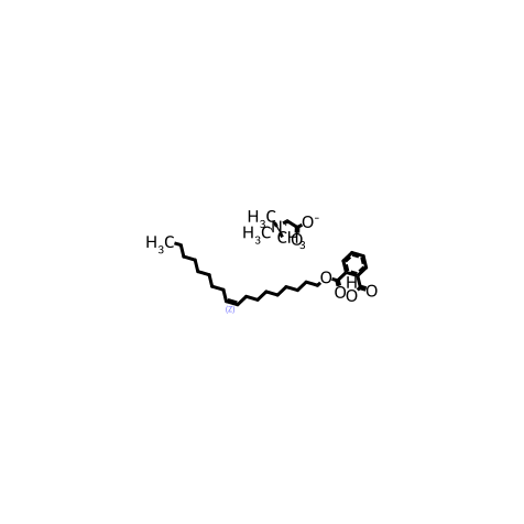 CCCCCCCC/C=C\CCCCCCCCOC(=O)c1ccccc1C(=O)O.C[N+](C)(C)CC(=O)[O-]